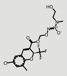 Cc1cc(Cl)cc2c1O[C@H](C(F)(F)F)C(C(=O)OCO/N=[N+](\[O-])N(C)CCO)=C2